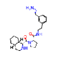 NN=Cc1cccc(CCNC(=O)[C@@H]2CCCN2C(=O)[C@@H]2NCC[C@@H]3CCCC[C@@H]32)c1